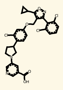 O=C(O)c1cncc(N2CCC(c3ccc(OCc4c(-c5c(Cl)cccc5Cl)noc4C4CC4)cc3Cl)C2)c1